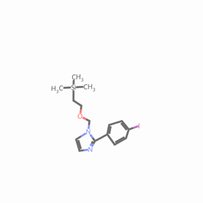 C[Si](C)(C)CCOCn1ccnc1-c1ccc(I)cc1